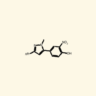 CCCc1cc(-c2ccc(O)c([N+](=O)[O-])c2)n(C)n1